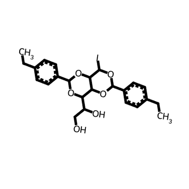 CCc1ccc(C2OC(C(O)CO)C3OC(c4ccc(CC)cc4)OC(I)C3O2)cc1